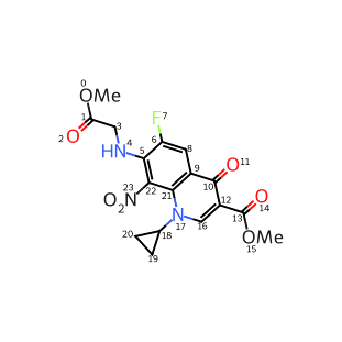 COC(=O)CNc1c(F)cc2c(=O)c(C(=O)OC)cn(C3CC3)c2c1[N+](=O)[O-]